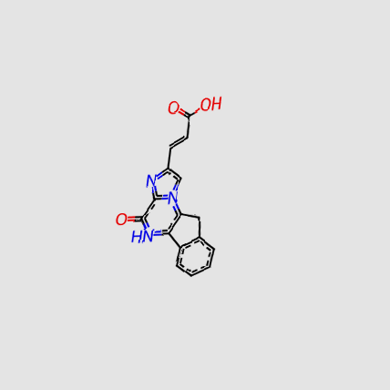 O=C(O)C=Cc1cn2c3c([nH]c(=O)c2n1)-c1ccccc1C3